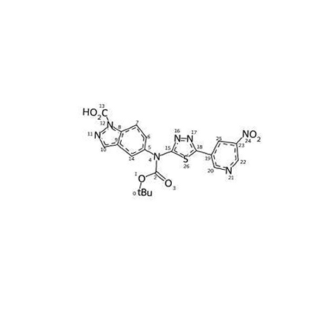 CC(C)(C)OC(=O)N(c1ccc2c(cnn2C(=O)O)c1)c1nnc(-c2cncc([N+](=O)[O-])c2)s1